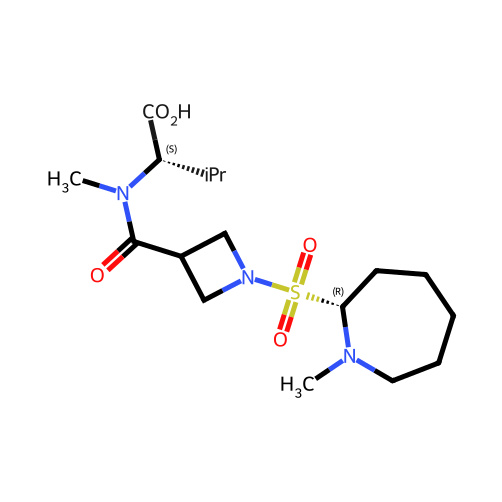 CC(C)[C@@H](C(=O)O)N(C)C(=O)C1CN(S(=O)(=O)[C@@H]2CCCCCN2C)C1